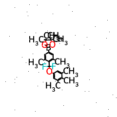 Cc1cc(OC(F)(F)c2c(C)cc(B3OC(C)(C)C(C)(C)O3)cc2C)cc(C)c1C